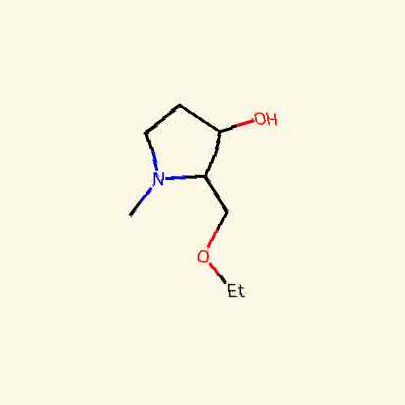 CCOCC1C(O)CCN1C